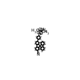 CC1(C)OB(c2ccc(-c3ccc4c(c3)C(c3ccccc3)(c3ccccc3)c3cc(C#N)ccc3-4)cc2)OC1(C)C